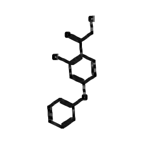 O=C(CCl)c1ccc(Oc2ccccc2)cc1Cl